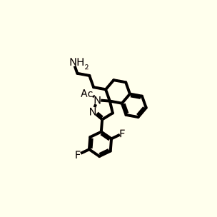 CC(=O)N1N=C(c2cc(F)ccc2F)CC12c1ccccc1CCC2CCCN